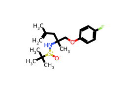 C=C(C)CC(C)(COc1ccc(F)cc1)N[S+]([O-])C(C)(C)C